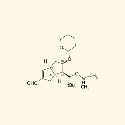 C[SiH](C)OC([C@H]1[C@H]2CC(C=O)=C[C@H]2C[C@H]1OC1CCCCO1)C(C)(C)C